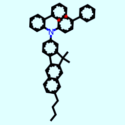 CCCCc1ccc2cc3c(cc2c1)C(C)(C)c1cc(N(c2ccc(-c4ccccc4)cc2)c2ccccc2-c2ccccc2)ccc1-3